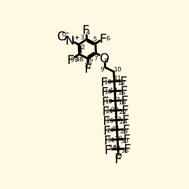 [C-]#[N+]c1c(F)c(F)c(OCCC(F)(F)C(F)(F)C(F)(F)C(F)(F)C(F)(F)C(F)(F)C(F)(F)C(F)(F)F)c(F)c1F